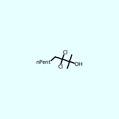 CCCCCCC(Cl)(Cl)C(C)(C)O